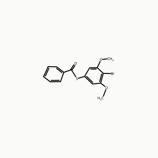 COc1cc(SC(=O)c2ccccc2)cc(OC)c1Br